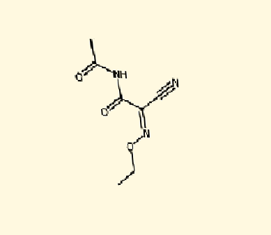 [CH2]C(=O)NC(=O)/C(C#N)=N\OCC